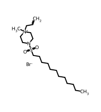 C=CC[N+]1(C)CCN(S(=O)(=O)CCCCCCCCCCCC)CC1.[Br-]